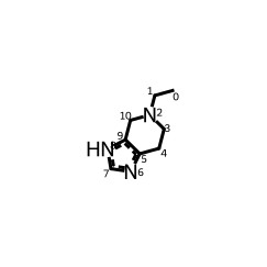 CCN1CCc2nc[nH]c2C1